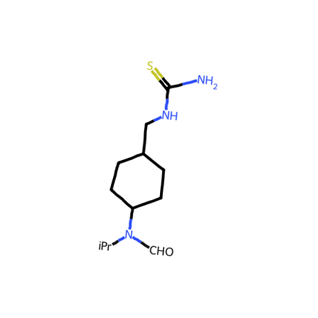 CC(C)N(C=O)C1CCC(CNC(N)=S)CC1